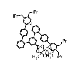 CC(C)Cc1cnc(-c2ccc(-c3ccccc3-c3cc(B4OC(C)(C)C(C)(C)O4)cc(-c4ccccc4-c4ccc(-c5cc(CC(C)C)c(CC(C)C)cn5)cc4)c3)cc2)cc1CC(C)C